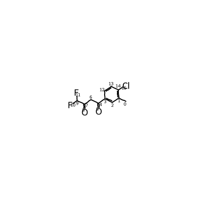 Cc1cc(C(=O)CC(=O)C(F)F)ccc1Cl